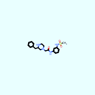 CS(=O)(=O)Nc1cccc(NC(=O)CN2CCNC(Cc3ccccc3)C2)c1